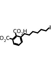 CC(C)CCCCCCc1cccc(C(=O)O)c1C(=O)O